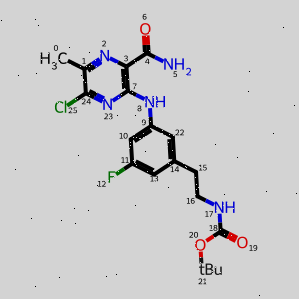 Cc1nc(C(N)=O)c(Nc2cc(F)cc(CCNC(=O)OC(C)(C)C)c2)nc1Cl